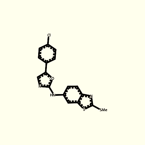 CSc1nc2ccc(Nc3ncc(-c4ccc(Cl)cc4)o3)cc2s1